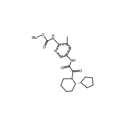 Cc1cc(NC(=O)C(=O)N2CCCC[C@H]2C2CCCC2)cnc1NC(=O)OC(C)(C)C